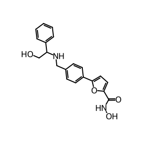 O=C(NO)c1ccc(-c2ccc(CNC(CO)c3ccccc3)cc2)o1